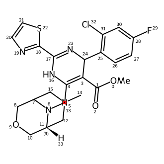 COC(=O)C1=C(CN2C3COC[C@H]2CN(C)C3)NC(c2nccs2)=NC1c1ccc(F)cc1Cl